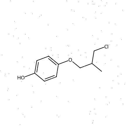 CC(CCl)COc1ccc(O)cc1